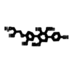 C=CC(O)COc1ccc(-c2c(OC)cc(-c3ccc(O)cc3)c(OC)c2O)cc1O